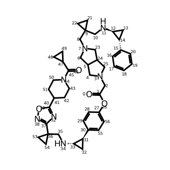 O=C(CN1CC2CN(CC3(CN[C@H]4C[C@@H]4c4ccccc4)CC3)CC2C1)Oc1ccc([C@H]2C[C@@H]2NCC2(c3noc(C4CCN(C(=O)C5CC5)CC4)n3)CC2)cc1